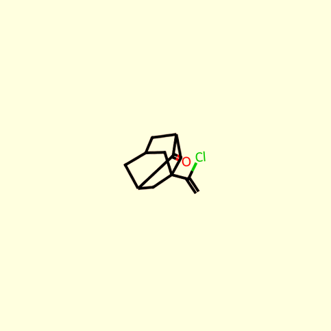 C=C(Cl)C12CC3CC(C1)C(=O)C(C3)C2